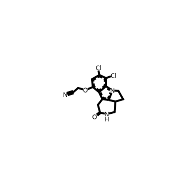 N#CCOc1cc(Cl)c(Cl)c2c1c1c3n2CCC3CNC(=O)C1